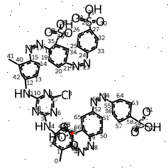 Cc1cc(Nc2nc(Cl)nc(Nc3ccc(/N=N\c4ccc(/N=N\c5ccc(S(=O)(=O)O)cc5)cc4S(=O)(=O)O)c(C)c3)n2)ccc1/N=N\c1ccc(/N=N\c2ccc(S(=O)(=O)O)cc2)cc1S(=O)(=O)O